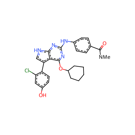 CNC(=O)c1ccc(Nc2nc(OC3CCCCC3)c3c(-c4ccc(O)cc4Cl)c[nH]c3n2)cc1